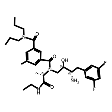 CCCN(CCC)C(=O)c1cc(C)cc(C(=O)N(C[C@@H](O)[C@@H](N)Cc2cc(F)cc(F)c2)[C@@H](C)C(=O)NCC)c1